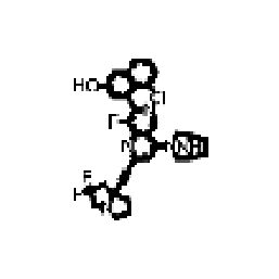 Oc1cc(-c2ncc3c(N4CC5CCC(C4)N5)cc(C#CC45CCCN4CC(F)(F)C5)nc3c2F)c2c(Cl)cccc2c1